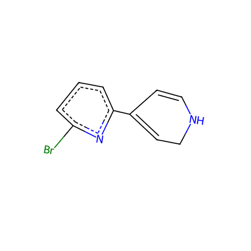 Brc1cccc(C2=CCNC=C2)n1